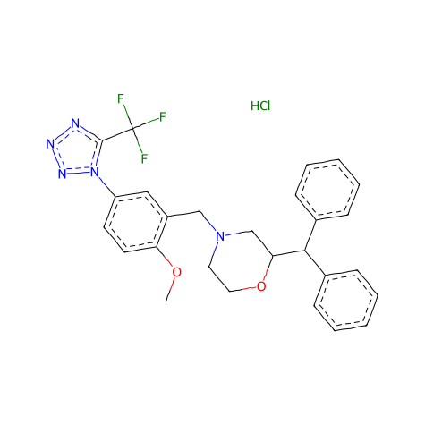 COc1ccc(-n2nnnc2C(F)(F)F)cc1CN1CCOC(C(c2ccccc2)c2ccccc2)C1.Cl